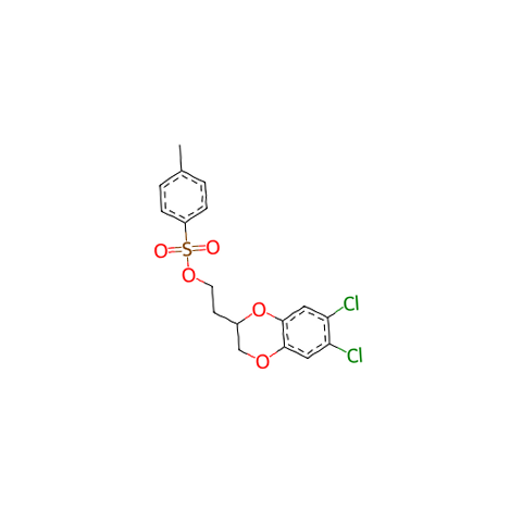 Cc1ccc(S(=O)(=O)OCCC2COc3cc(Cl)c(Cl)cc3O2)cc1